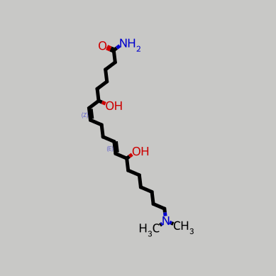 CN(C)CCCCCCC(O)/C=C/CC/C=C\C(O)CCCCC(N)=O